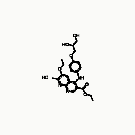 CCOC(=O)c1cnc2nc(C)c(OCC)cc2c1Nc1ccc(OCC(O)CO)cc1.Cl